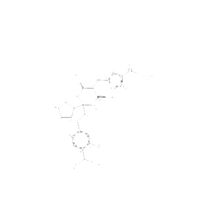 O=C(O)Nc1cc(CC2C(=O)CC(CCc3ccc(C(F)F)c(F)c3)(C3CCCC3)OC2=O)on1